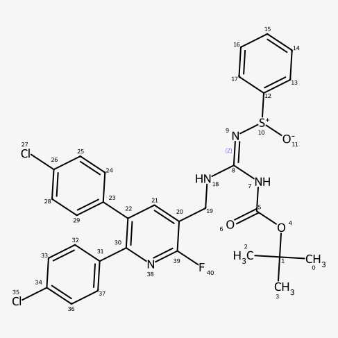 CC(C)(C)OC(=O)N/C(=N\[S+]([O-])c1ccccc1)NCc1cc(-c2ccc(Cl)cc2)c(-c2ccc(Cl)cc2)nc1F